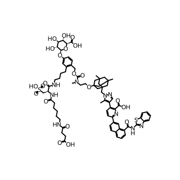 Cc1c(-c2ccc(-c3ccc4cccc(C(=O)Nc5nc6ccccc6s5)c4c3)nc2C(=O)O)cnn1CC12CC3(C)CC(C)(C1)CC(OCCN(C)C(=O)OCc1ccc(O[C@@H]4O[C@H](C(=O)O)[C@@H](O)[C@H](O)[C@H]4O)cc1CCCCNC(=O)[C@H](CS(=O)(=O)O)NC(=O)CCCCCNC(=O)CCC(=O)O)(C3)C2